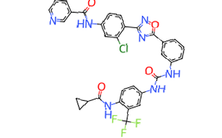 O=C(Nc1cccc(-c2nc(-c3ccc(NC(=O)c4cccnc4)cc3Cl)no2)c1)Nc1ccc(NC(=O)C2CC2)c(C(F)(F)F)c1